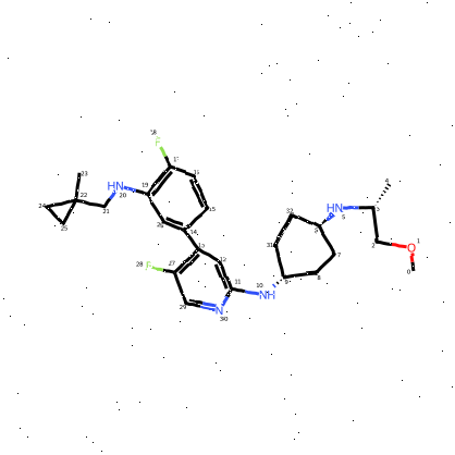 COC[C@@H](C)N[C@H]1CC[C@H](Nc2cc(-c3ccc(F)c(NCC4(C)CC4)c3)c(F)cn2)CC1